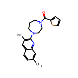 Cc1ccc2cc(C#N)c(N3CCCN(C(=O)c4cccs4)CC3)nc2c1